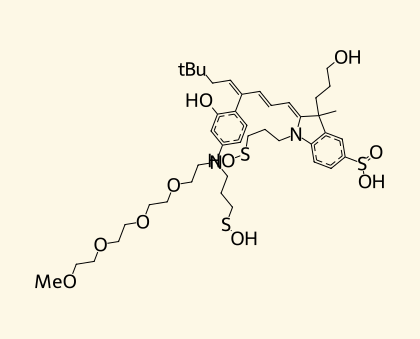 COCCOCCOCCOCCN(CCCSO)c1ccc(C(=C\CC(C)(C)C)/C=C/C=C2\N(CCCSO)c3ccc(S(=O)O)cc3C2(C)CCCO)c(O)c1